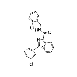 O=C(NCc1ccccc1Cl)c1nc(-c2cccc(Cl)c2)n2ccccc12